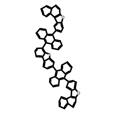 c1ccc2c(c1)ccc1oc3ccc(-c4c5ccccc5c(-c5ccc6c(c5)sc5c(-c7c8ccccc8c(-c8ccc9oc%10ccc%11ccccc%11c%10c9c8)c8ccccc78)cccc56)c5ccccc45)cc3c12